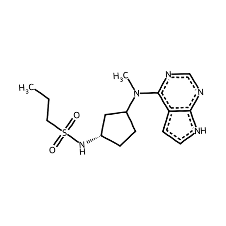 CCCS(=O)(=O)N[C@H]1CCC(N(C)c2ncnc3[nH]ccc23)C1